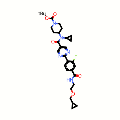 CC(C)(C)OC(=O)N1CCC(N(C(=O)c2cnc(-c3ccc(C(=O)NCCOCC4CC4)cc3F)nc2)C2CC2)CC1